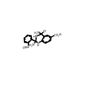 CCC1(N)NC(N)(c2ccccc2OC)Nc2ccc(C(=O)O)cc21